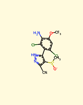 C[S+]([O-])c1c(C#N)n[nH]c1-c1c(Cl)cc(OC(F)(F)F)c(N)c1Cl